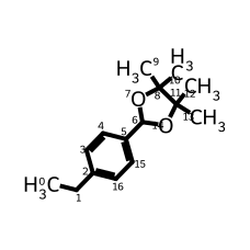 CCc1ccc(C2OC(C)(C)C(C)(C)O2)cc1